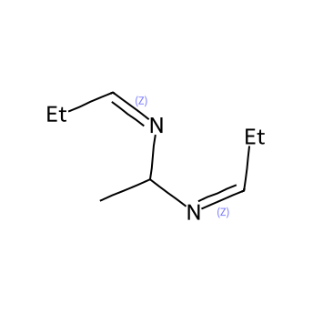 CC/C=N\C(C)/N=C\CC